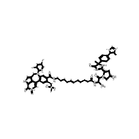 Cc1ncsc1-c1ccc(C2(C)NC(C3CC(O)CN3C(=O)C(NC(=O)CCCCCCCCCCNC(=O)c3cc4c(cc3CS(C)(=O)=O)-c3cn(C)c(=O)c5[nH]cc(c35)CN4c3ncc(F)cc3F)C(C)(C)C)=NC2=O)cc1